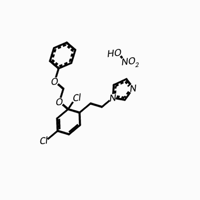 ClC1=CC(Cl)(OCOc2ccccc2)C(CCn2ccnc2)C=C1.O=[N+]([O-])O